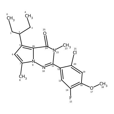 CCC(CC)c1cc(C)n2nc(-c3cc(F)c(OC)cc3Cl)n(C)c(=O)c12